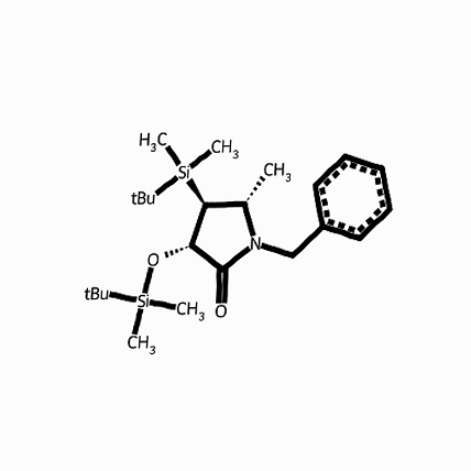 C[C@H]1[C@H]([Si](C)(C)C(C)(C)C)[C@@H](O[Si](C)(C)C(C)(C)C)C(=O)N1Cc1ccccc1